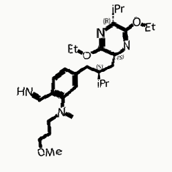 CCOC1=N[C@H](C(C)C)C(OCC)=N[C@H]1C[C@H](Cc1ccc(C=N)c(N(C)CCCOC)c1)C(C)C